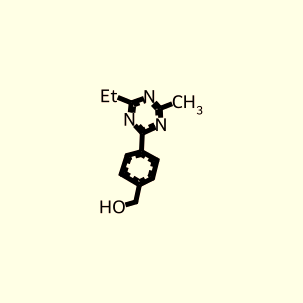 CCc1nc(C)nc(-c2ccc(CO)cc2)n1